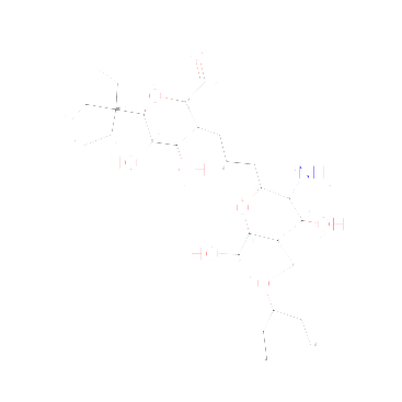 CCC(CC)OCC1C(CO)OC(CCCC2C(C=O)OC(C(CC)(CC)CC)C(O)C2O)C(N)C1O